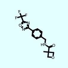 CC1(C(=O)NCc2ccc(-c3noc(C(F)(F)F)n3)cc2)COC1